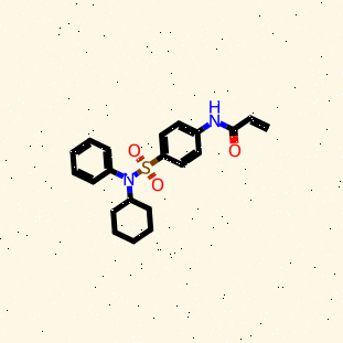 C=CC(=O)Nc1ccc(S(=O)(=O)N(c2ccccc2)C2CCCCC2)cc1